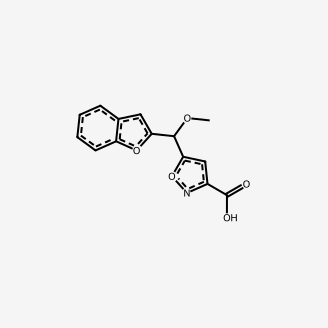 COC(c1cc(C(=O)O)no1)c1cc2ccccc2o1